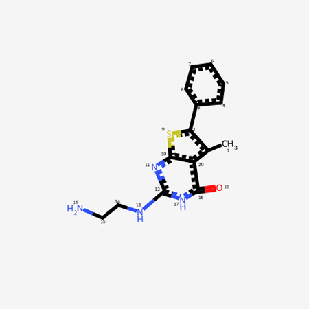 Cc1c(-c2ccccc2)sc2nc(NCCN)[nH]c(=O)c12